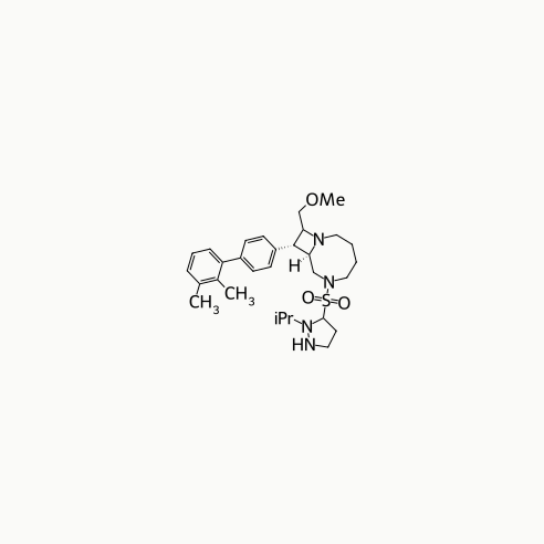 COCC1[C@@H](c2ccc(-c3cccc(C)c3C)cc2)[C@@H]2CN(S(=O)(=O)C3CCNN3C(C)C)CCCCN12